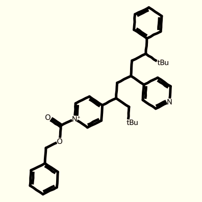 CC(C)(C)CC(CC(CC(c1ccccc1)C(C)(C)C)c1ccncc1)c1cc[n+](C(=O)OCc2ccccc2)cc1